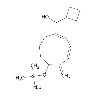 C=C1/C=C\C=C(\C(O)C2CCC2)CCCC1O[Si](C)(C)C(C)(C)C